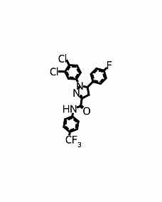 O=C(Nc1ccc(C(F)(F)F)cc1)C1=NN(c2ccc(Cl)c(Cl)c2)C(c2ccc(F)cc2)C1